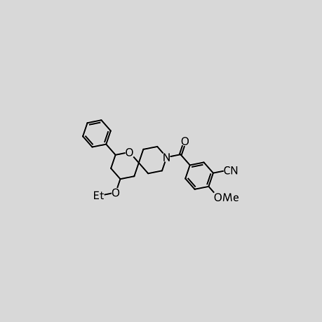 CCOC1CC(c2ccccc2)OC2(CCN(C(=O)c3ccc(OC)c(C#N)c3)CC2)C1